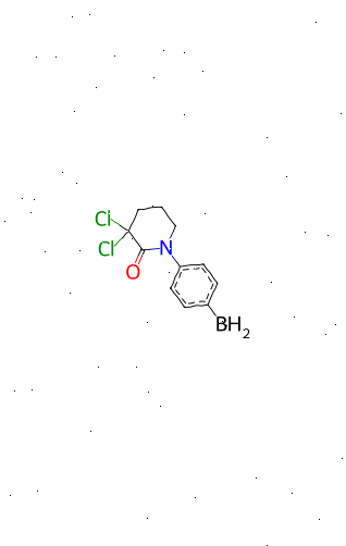 Bc1ccc(N2CCCC(Cl)(Cl)C2=O)cc1